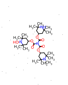 CN1C(C)(C)CC(OC(=O)N(C(=O)OC2CC(C)(C)NC(C)(C)C2)C(=O)OC2CC(C)(C)N(O)C(C)(C)C2)CC1(C)C